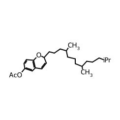 CC(=O)Oc1ccc2c(c1)C=CC(CCCC(C)CCCC(C)CCCC(C)C)O2